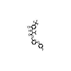 CC(C)C(Nc1ccc(C(F)(F)F)cc1Cl)C(=O)OCc1cccc(Oc2ccc(F)cc2)n1